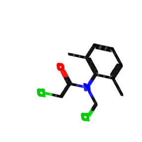 Cc1cccc(C)c1N(CCl)C(=O)CCl